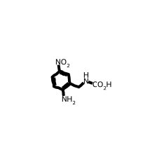 Nc1ccc([N+](=O)[O-])cc1CNC(=O)O